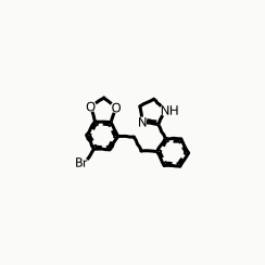 Brc1cc(CCc2ccccc2C2=NCCN2)c2c(c1)OCO2